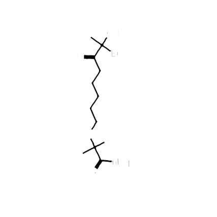 CCCCCCCC(=O)C(C)(CC)OCCCCCC(=O)C(C)(O)CC